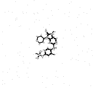 Cc1cc(OS(C)(=O)=O)ncc1Nc1ncc2c(n1)n(C1CCOCC1)c(=O)n2C